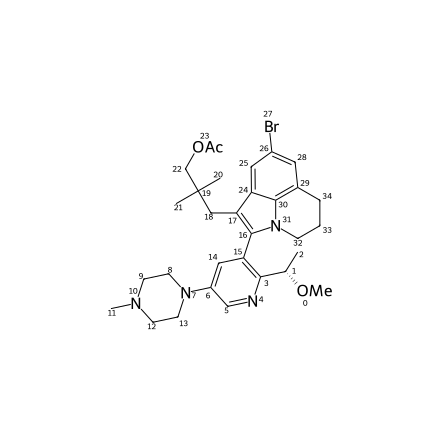 CO[C@@H](C)c1ncc(N2CCN(C)CC2)cc1-c1c(CC(C)(C)COC(C)=O)c2cc(Br)cc3c2n1CCC3